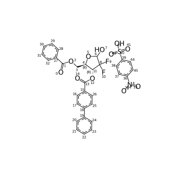 O=C(OC[C@H]1OC(O)C(F)(F)[C@@H]1OC(=O)c1ccc(-c2ccccc2)cc1)c1ccccc1.O=[N+]([O-])c1ccc(S(=O)(=O)O)cc1